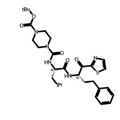 CC(C)C[C@H](NC(=O)N1CCN(C(=O)OC(C)(C)C)CC1)C(=O)N[C@@H](CCc1ccccc1)C(=O)c1nccs1